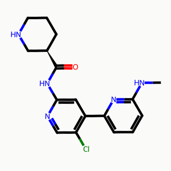 CNc1cccc(-c2cc(NC(=O)[C@@H]3CCCNC3)ncc2Cl)n1